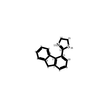 c1ccc2c(c1)Cc1cccc(C3=NCCS3)c1-2